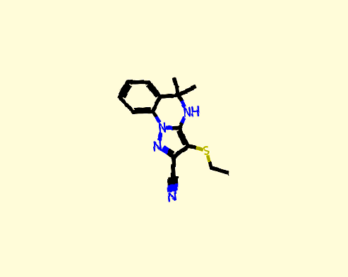 CCSc1c(C#N)nn2c1NC(C)(C)c1ccccc1-2